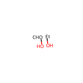 CCO.O=CO